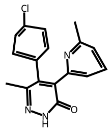 Cc1cccc(-c2c(-c3ccc(Cl)cc3)c(C)n[nH]c2=O)n1